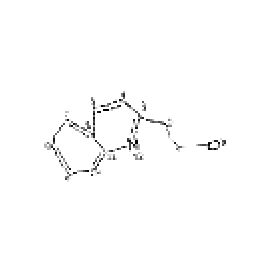 ClCCc1ccc2ccccc2n1